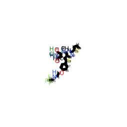 Cc1c(-c2ccc(OCCNCC(F)(F)F)cc2)sc2nc(-c3cccs3)nc(N(C)C3=CC(=O)NC3=O)c12.Cl